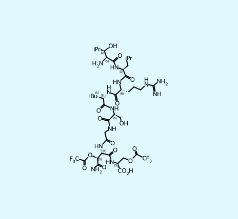 CC[C@H](C)[C@H](NC(=O)[C@@H](CCCNC(=N)N)NC(=O)[C@H](CC(C)C)NC(=O)[C@@H](N)[C@H](O)C(C)C)C(=O)N[C@@H](CO)C(=O)NCC(=O)N[C@H](C(=O)N[C@@H](COC(=O)C(F)(F)F)C(=O)O)[C@H](OC(=O)C(F)(F)F)C(N)=O